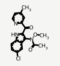 CON(C(C)=O)c1c(C(=O)c2cc(C)ccn2)[nH]c2ccc(Cl)cc12